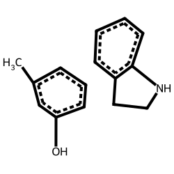 Cc1cccc(O)c1.c1ccc2c(c1)CCN2